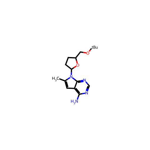 Cc1cc2c(N)ncnc2n1C1CCC(COC(C)(C)C)O1